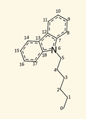 CCCCCCn1c2ccccc2c2ccccc21